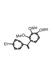 C=C(c1ccc(CC)cc1)c1ccc(OC)c(OC)c1OC